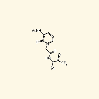 CC(=O)Nc1cccn(CC(=O)NC(C(=O)C(F)(F)F)C(C)C)c1=O